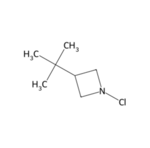 CC(C)(C)C1CN(Cl)C1